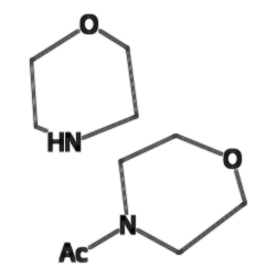 C1COCCN1.CC(=O)N1CCOCC1